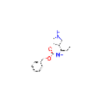 CCC(NC(=O)OCc1ccccc1)C1CCNC1